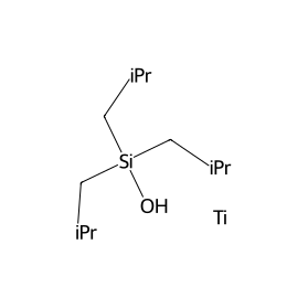 CC(C)C[Si](O)(CC(C)C)CC(C)C.[Ti]